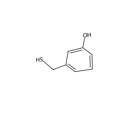 Oc1cccc(CS)c1